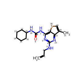 C=CCNc1nc(NC(=O)NC2CCCCC2)c2scc(C)c2n1